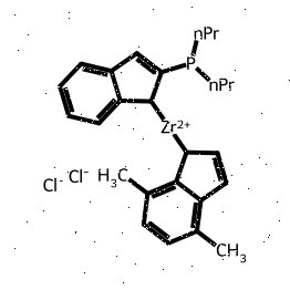 CCCP(CCC)C1=Cc2ccccc2[CH]1[Zr+2][CH]1C=Cc2c(C)ccc(C)c21.[Cl-].[Cl-]